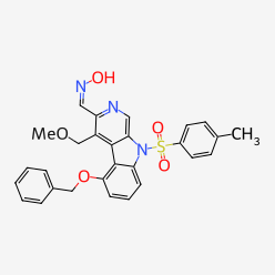 COCc1c(/C=N\O)ncc2c1c1c(OCc3ccccc3)cccc1n2S(=O)(=O)c1ccc(C)cc1